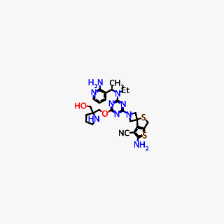 CCN(c1nc(OCC2(CO)CCCN2)nc(N2CC3(C2)SCc2sc(N)c(C#N)c23)n1)[C@H](C)c1cccnc1N